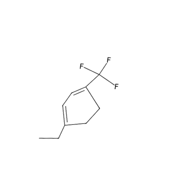 CCC1=CC=C(C(F)(F)F)CC1